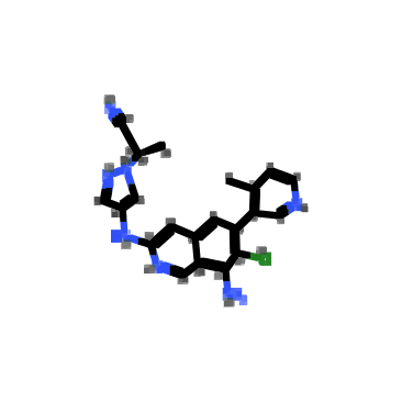 Cc1ccncc1-c1cc2cc(Nc3cnn([C@H](C)C#N)c3)ncc2c(N)c1Cl